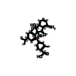 Cc1cc(C(=O)NC23C(=O)c4c(N)cccc4C2(O)Oc2cc(C(C)C)ccc23)ccc1C(=O)O